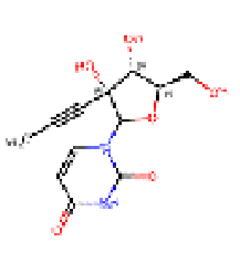 CC#C[C@]1(O)C(n2ccc(=O)[nH]c2=O)O[C@H](CO)[C@H]1O